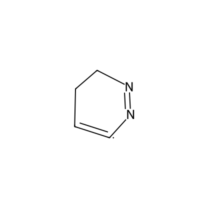 [C]1=CCCN=N1